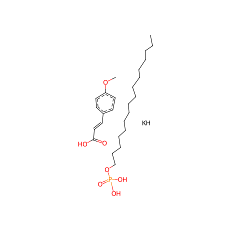 CCCCCCCCCCCCCCCCOP(=O)(O)O.COc1ccc(C=CC(=O)O)cc1.[KH]